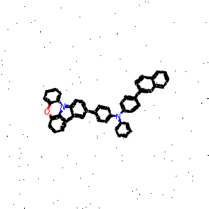 c1ccc(N(c2ccc(-c3ccc4ccccc4c3)cc2)c2ccc(-c3ccc4c(c3)c3cccc5c3n4-c3ccccc3O5)cc2)cc1